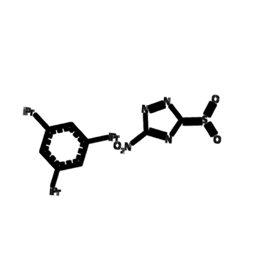 CC(C)c1cc(C(C)C)cc(C(C)C)c1.O=[N+]([O-])C1=NC(=S(=O)=O)N=N1